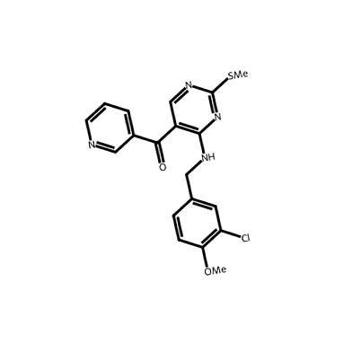 COc1ccc(CNc2nc(SC)ncc2C(=O)c2cccnc2)cc1Cl